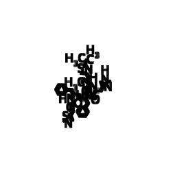 CC(C)C1=NC(CN(C)C(=O)N[C@@H](Cc2c[nH]cn2)C(=O)N[C@H](CC[C@H](Cc2ccccc2)NC(=O)OCc2cncs2)Cc2ccccc2)CS1